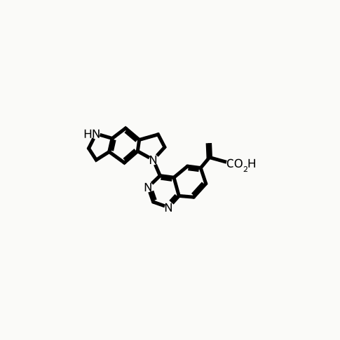 C=C(C(=O)O)c1ccc2ncnc(N3CCc4cc5c(cc43)CCN5)c2c1